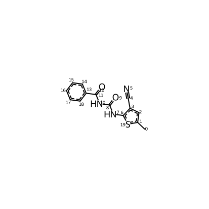 Cc1cc(C#N)c(NC(=O)NC(=O)c2ccccc2)s1